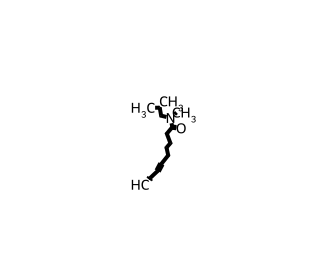 C#CC#CCCCCC(=O)N(C)CC(C)C